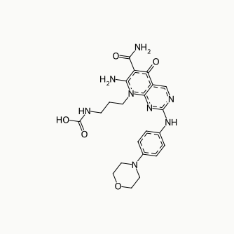 NC(=O)c1c(N)n(CCCNC(=O)O)c2nc(Nc3ccc(N4CCOCC4)cc3)ncc2c1=O